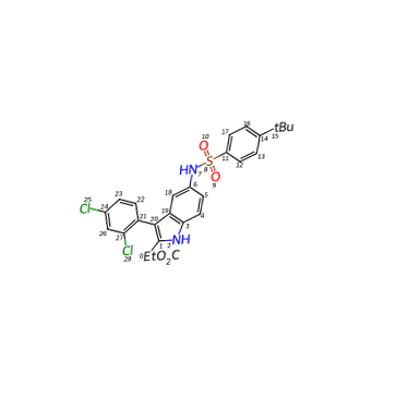 CCOC(=O)c1[nH]c2ccc(NS(=O)(=O)c3ccc(C(C)(C)C)cc3)cc2c1-c1ccc(Cl)cc1Cl